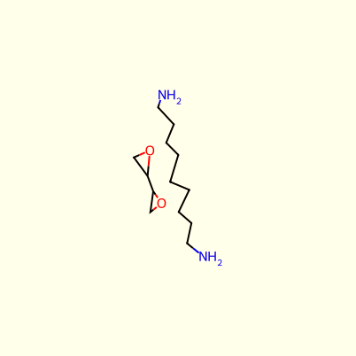 C1OC1C1CO1.NCCCCCCCCCN